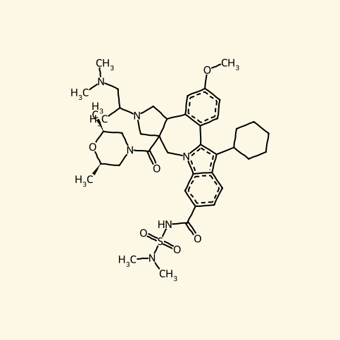 COc1ccc2c(c1)C1CN(C(C)CN(C)C)CC1(C(=O)N1C[C@@H](C)O[C@@H](C)C1)Cn1c-2c(C2CCCCC2)c2ccc(C(=O)NS(=O)(=O)N(C)C)cc21